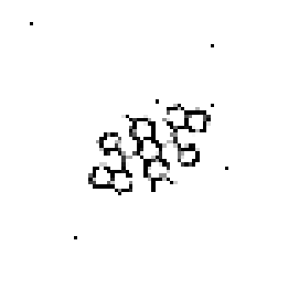 Cc1ccc2c(N(c3cccs3)c3cccc4ccccc34)c3cc(C)c(C)cc3c(N(c3cccs3)c3cccc4ccccc34)c2c1